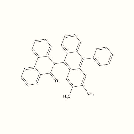 Cc1cc2c(-c3ccccc3)c3ccccc3c(-n3c(=O)c4ccccc4c4ccccc43)c2cc1C